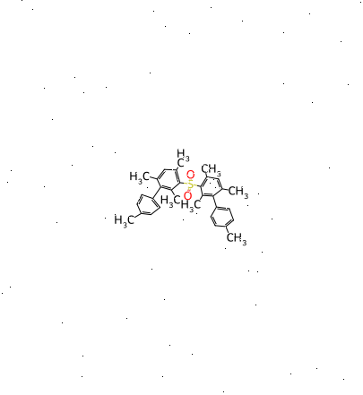 Cc1ccc(-c2c(C)cc(C)c(S(=O)(=O)c3c(C)cc(C)c(-c4ccc(C)cc4)c3C)c2C)cc1